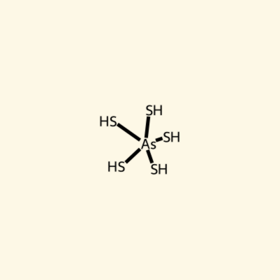 S[As](S)(S)(S)S